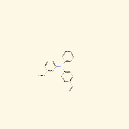 C=Cc1ccc(N(c2ccccc2)c2cccc(C=C)c2)cc1